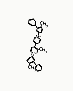 Cc1c[n+](-c2ccc(C)c(-c3ccccc3)c2)ccc1-c1cc[n+](-c2ccc(C)c(-c3ccccc3)c2)cc1